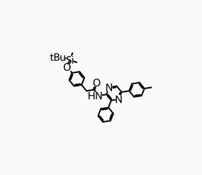 Cc1ccc(-c2cnc(NC(=O)Cc3ccc(O[Si](C)(C)C(C)(C)C)cc3)c(-c3ccccc3)n2)cc1